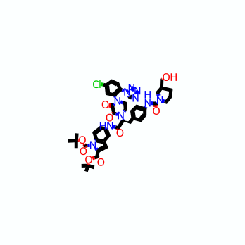 CC(C)(C)OC(=O)c1cc2cc(NC(=O)[C@H](Cc3ccc(NC(=O)N4CCCC(CO)C4)cc3)N3CCN(c4cc(Cl)ccc4-n4cnnn4)C(=O)C3=O)ccc2n1C(=O)OC(C)(C)C